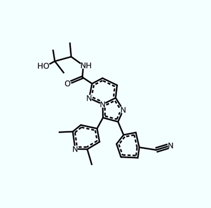 Cc1cc(-c2c(-c3cccc(C#N)c3)nc3ccc(C(=O)NC(C)C(C)(C)O)nn23)cc(C)n1